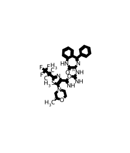 C[C@H]1CN(c2sc(C(C)(C)C(F)(F)F)nc2C(=N)OC(=N)N[C@H]2N=C(c3ccccc3)c3ccccc3NC2=O)CCO1